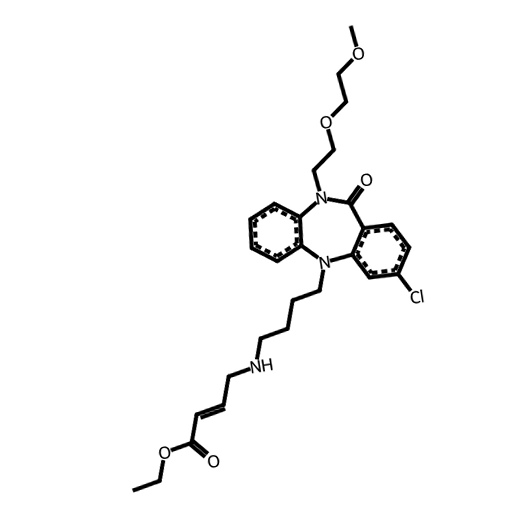 CCOC(=O)/C=C/CNCCCCN1c2cc(Cl)ccc2C(=O)N(CCOCCOC)c2ccccc21